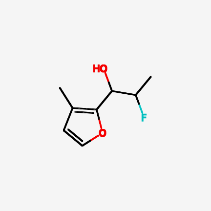 Cc1ccoc1C(O)C(C)F